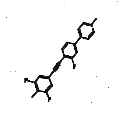 Cc1ccc(-c2ccc(C#Cc3cc(F)c(C)c(F)c3)c(F)c2)cc1